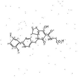 O=C(O)CNC(=O)c1c(O)c2c(n(Cc3ccc(-c4cc(F)ccc4F)nc3)c1=O)CSC2